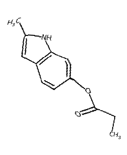 CCC(=O)Oc1ccc2cc(C)[nH]c2c1